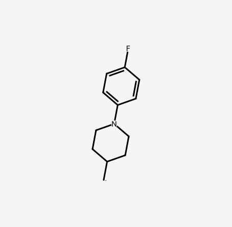 [CH2]C1CCN(c2ccc(F)cc2)CC1